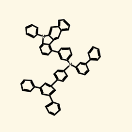 c1ccc(-c2cc(-c3ccccc3)cc(-c3ccc(N(c4cccc(-c5ccccc5)c4)c4cccc(-c5cccc6c5c5cc7ccccc7cc5n6-c5ccccc5)c4)cc3)c2)cc1